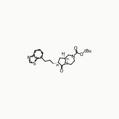 CC(C)(C)OC(=O)N1CCN2C(=O)[C@H](CCCc3cccc4ncsc34)C[C@H]2C1